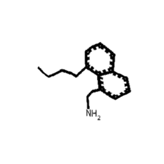 CCCCc1cccc2cccc(CN)c12